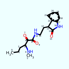 CCCC(NC)C(=O)C(=O)NCCC1C(=O)Nc2ccccc21